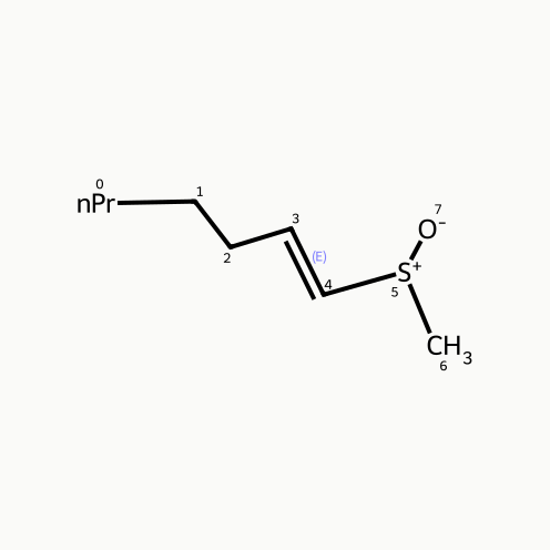 CCCCC/C=C/[S+](C)[O-]